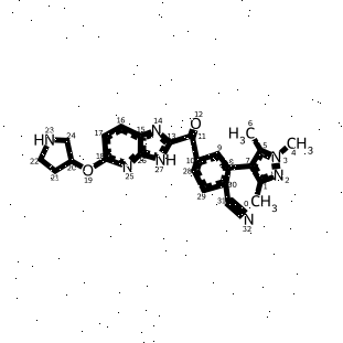 Cc1nn(C)c(C)c1-c1cc(C(=O)c2nc3ccc(OC4CCNC4)nc3[nH]2)ccc1C#N